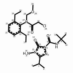 CC(C)c1nn(C(=O)NC(C)(C)C)c(=O)n1N.CCc1cccc(CC)c1N(COC)C(=O)CCl